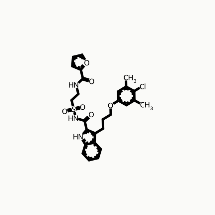 Cc1cc(OCCCc2c(C(=O)NS(=O)(=O)CCNC(=O)c3ccco3)[nH]c3ccccc23)cc(C)c1Cl